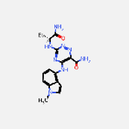 CC[C@@H](Nc1nnc(C(N)=O)c(Nc2cccc3c2ccn3C)n1)C(N)=O